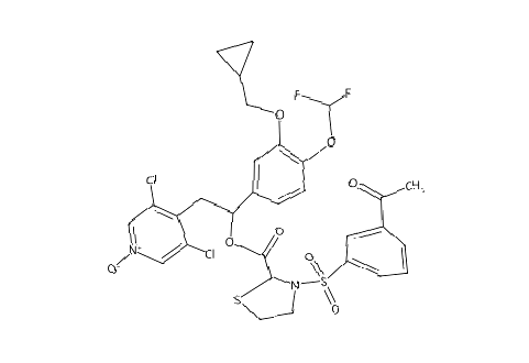 CC(=O)c1cccc(S(=O)(=O)N2CCSC2C(=O)OC(Cc2c(Cl)c[n+]([O-])cc2Cl)c2ccc(OC(F)F)c(OCC3CC3)c2)c1